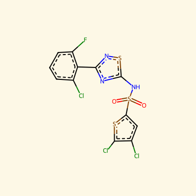 O=S(=O)(Nc1nc(-c2c(F)cccc2Cl)ns1)c1cc(Cl)c(Cl)s1